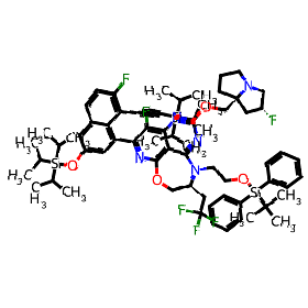 CC(C)[Si](C#Cc1c(F)ccc2cc(O[Si](C(C)C)(C(C)C)C(C)C)cc(-c3nc4c5c(nc(OC[C@@]67CCCN6C[C@H](F)C7)nc5c3F)N(CCO[Si](c3ccccc3)(c3ccccc3)C(C)(C)C)[C@@H](CC(F)(F)F)CO4)c12)(C(C)C)C(C)C